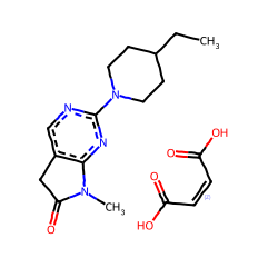 CCC1CCN(c2ncc3c(n2)N(C)C(=O)C3)CC1.O=C(O)/C=C\C(=O)O